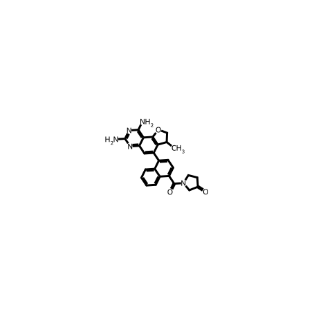 CC1COc2c1c(-c1ccc(C(=O)N3CCC(=O)C3)c3ccccc13)cc1nc(N)nc(N)c21